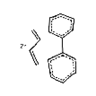 C=CC=C.[Zr].c1ccc(-c2ccccc2)cc1